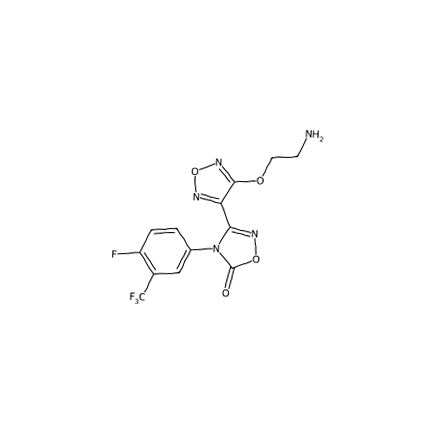 NCCOc1nonc1-c1noc(=O)n1-c1ccc(F)c(C(F)(F)F)c1